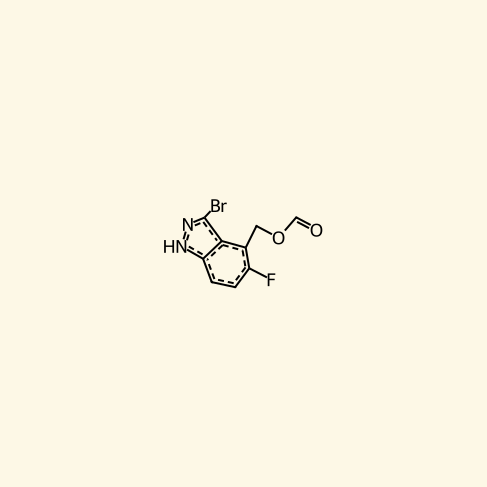 O=COCc1c(F)ccc2[nH]nc(Br)c12